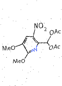 COc1cc([N+](=O)[O-])c(C(OC(C)=O)OC(C)=O)nc1OC